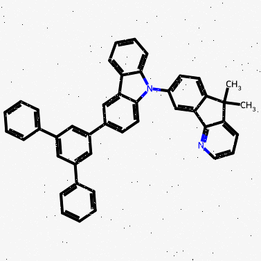 CC1(C)c2ccc(-n3c4ccccc4c4cc(-c5cc(-c6ccccc6)cc(-c6ccccc6)c5)ccc43)cc2-c2ncccc21